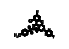 Cc1ccc(S(=O)(=O)N/N=C(/c2c(Cl)cc(F)cc2Cl)N2CCN(c3ncc(F)cn3)CC23CC3)cc1